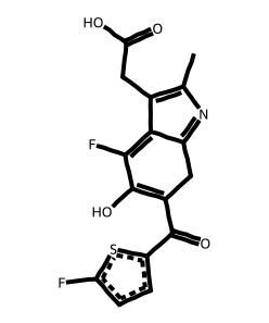 CC1=C(CC(=O)O)C2=C(F)C(O)=C(C(=O)c3ccc(F)s3)CC2=N1